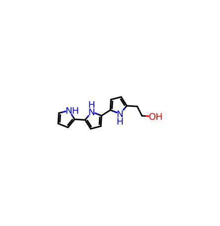 OCCc1ccc(-c2ccc(-c3ccc[nH]3)[nH]2)[nH]1